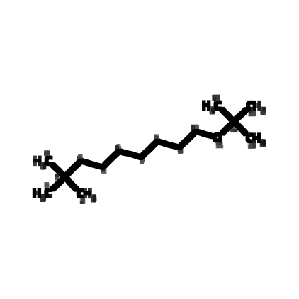 CC(C)(C)CCCCCCCOC(C)(C)C